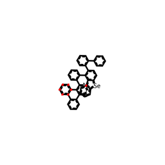 c1ccc(-c2ccccc2-c2ccc3[se]c4ccccc4c3c2-c2ccccc2-c2nnnc(-c3ccccc3-c3ccccc3)c2-c2ccccc2)cc1